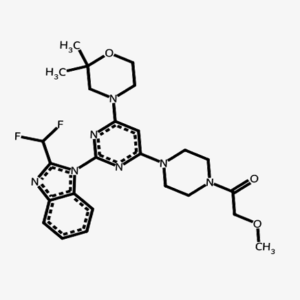 COCC(=O)N1CCN(c2cc(N3CCOC(C)(C)C3)nc(-n3c(C(F)F)nc4ccccc43)n2)CC1